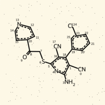 N#Cc1c(N)nc(SCC(=O)c2ccncc2)c(C#N)c1-c1cccc(Cl)c1